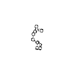 c1ccc(-n2c3ccccc3c3cc4ccc(-c5cccc(-c6ccc7c(c6)-c6cccc8cccc(c68)O7)c5)cc4cc32)cc1